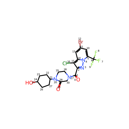 O=C(c1nn2c(C(F)(F)F)cc(Br)cc2c1Cl)N1CCN(C2CCC(O)CC2)C(=O)C1